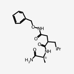 CC(C)CC(CC(=O)NOCc1ccccc1)C(=O)N[C@@H](C)C(N)=O